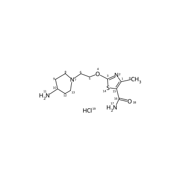 Cc1nc(OCCN2CCC(N)CC2)sc1C(N)=O.Cl